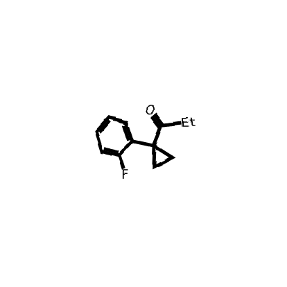 CCC(=O)C1(c2ccccc2F)CC1